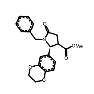 COC(=O)C1CC(=O)N(Cc2ccccc2)[C@@H]1c1ccc2c(c1)OCCO2